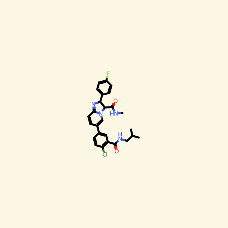 CNC(=O)C1C(c2ccc(F)cc2)N=C2C=CC(c3ccc(Cl)c(C(=O)NCC(C)C)c3)=CN21